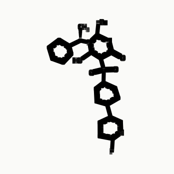 CCCCc1nc(=O)c(S(=O)(=O)c2ccc(-c3ccc(F)nc3)cc2)c(O)n1[C@@H](C)c1ccccc1